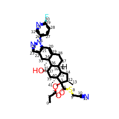 CCC(=O)O[C@]1(C(=O)SCC#N)[C@H](C)CC2[C@@H]3CCC4=Cc5c(cnn5-c5ccc(F)nc5)C[C@]4(C)C3[C@@H](O)C[C@@]21C